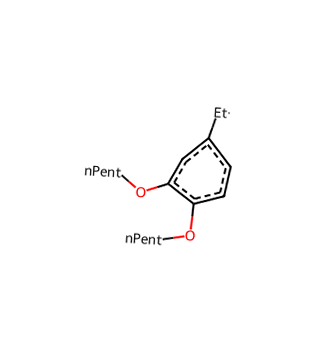 C[CH]c1ccc(OCCCCC)c(OCCCCC)c1